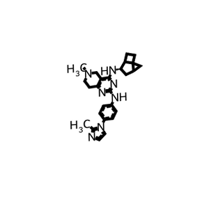 Cc1nccn1-c1ccc(Nc2nc3c(c(N[C@@H]4CC5CC56CCC46)n2)CN(C)CC3)cc1